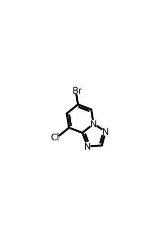 Clc1cc(Br)cn2ncnc12